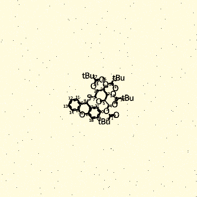 CC(C)(C)C(=O)OC[C@H]1O[C@@H](SC2c3ccccc3Oc3ccccc32)[C@H](OC(=O)C(C)(C)C)[C@@H](OC(=O)C(C)(C)C)[C@@H]1OC(=O)C(C)(C)C